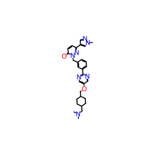 CN(C)CC1CCC(COc2cnc(-c3cccc(Cn4nc(-c5cnn(C)c5)ccc4=O)c3)nc2)CC1